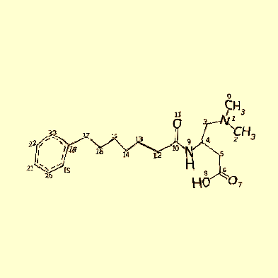 CN(C)CC(CC(=O)O)NC(=O)CCCCCCc1ccccc1